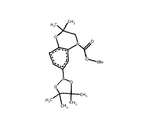 CC(C)(C)OC(=O)N1CC(C)(C)Oc2ccc(B3OC(C)(C)C(C)(C)O3)cc21